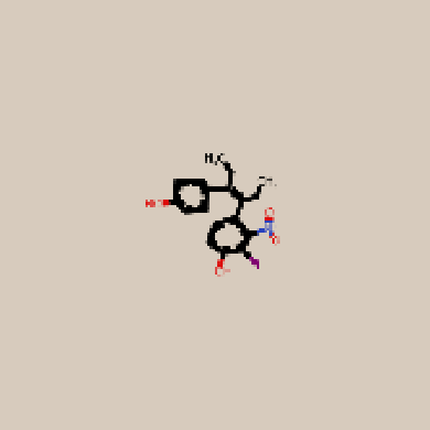 CCC(=C(CC)c1ccc(O)c(I)c1[N+](=O)[O-])c1ccc(O)cc1